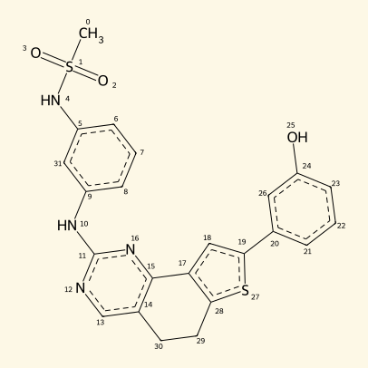 CS(=O)(=O)Nc1cccc(Nc2ncc3c(n2)-c2cc(-c4cccc(O)c4)sc2CC3)c1